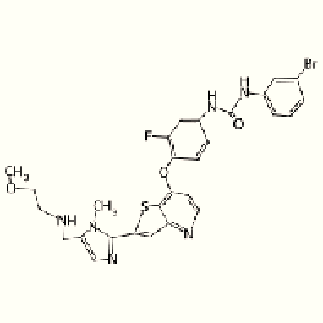 COCCNCc1cnc(-c2cc3nccc(Oc4ccc(NC(=O)Nc5cccc(Br)c5)cc4F)c3s2)n1C